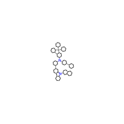 c1ccc(-c2ccc(N(c3cccc(-c4ccc5c6ccccc6n(-c6ccc7ccccc7c6)c5c4)c3)c3ccc4c(c3)-c3ccccc3C4(c3ccccc3)c3ccccc3)cc2)cc1